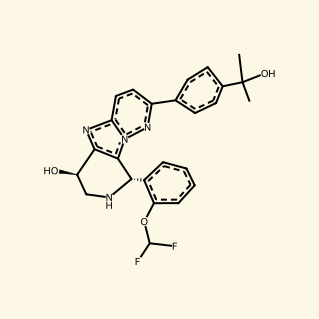 CC(C)(O)c1ccc(-c2ccc3nc4c(n3n2)[C@H](c2ccccc2OC(F)F)NC[C@H]4O)cc1